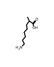 CC(CCCCCCN)C(=O)O